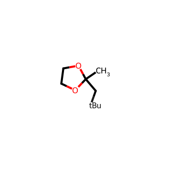 [CH2]C(C)(C)CC1(C)OCCO1